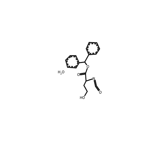 O.O=C=NC(CCO)C(=O)OC(c1ccccc1)c1ccccc1